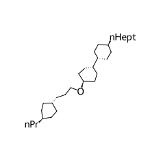 CCCCCCC[C@H]1CC[C@H]([C@H]2CC[C@H](OCCC[C@H]3CC[C@H](CCC)CC3)CC2)CC1